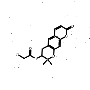 CC1(C)Oc2cc3oc(=O)ccc3cc2CC1OC(=O)CCl